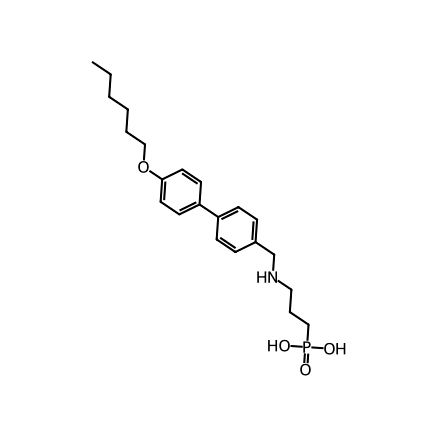 CCCCCCOc1ccc(-c2ccc(CNCCCP(=O)(O)O)cc2)cc1